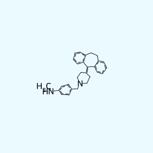 CNc1ccc(CN2CCC(=C3c4ccccc4CCc4ccccc43)CC2)cc1